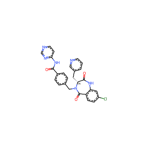 O=C(Nc1ccncn1)c1ccc(CN2C(=O)c3ccc(Cl)cc3NC(=O)[C@H]2Cc2cccnc2)cc1